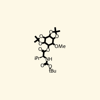 COC1C(OC(=O)[C@@H](NC(=O)OC(C)(C)C)C(C)C)C2OC(C)(C)OC2C2OC(C)(C)OC12